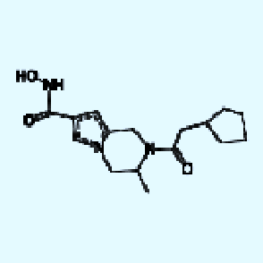 CC1Cn2cc(C(=O)NO)cc2CN1C(=O)CC1CCCC1